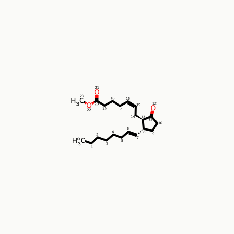 CCCCCC/C=C/[C@H]1CCC(=O)[C@@H]1C/C=C\CCCC(=O)OC